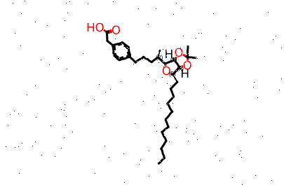 CCCCCCCCCCCC[C@H]1OC([C@H](C)CCCc2ccc(CC(=O)O)cc2)[C@@H]2OC(C)(C)O[C@H]12